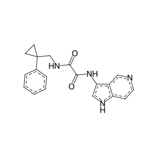 O=C(NCC1(c2ccccc2)CC1)C(=O)Nc1c[nH]c2ccncc12